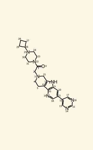 O=C(CN1CCc2c([nH]c3cc(-c4cncnc4)cnc23)C1)N1CCN(C2CCC2)CC1